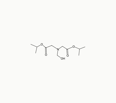 CC(C)OC(=O)CN(CO)CC(=O)OC(C)C